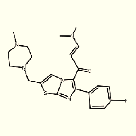 CN(C)/C=C/C(=O)c1c(-c2ccc(F)cc2)nc2sc(CN3CCN(C)CC3)cn12